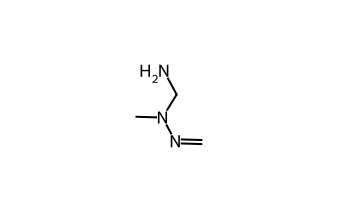 C=NN(C)CN